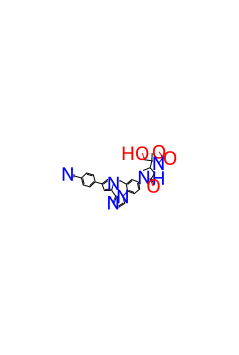 N#Cc1ccc(-c2cc3n(c2)Cc2cc(N4CC(C5(CO)COC(=O)N5)CC4=O)ccc2-n2ccnc2-3)cc1